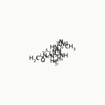 C=CC(=O)N1CCC[C@@H](Nc2nc(Nc3cnn(CC)c3)nc3[nH]cc(C4CC4)c23)C1